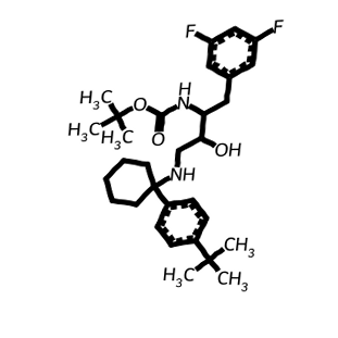 CC(C)(C)OC(=O)NC(Cc1cc(F)cc(F)c1)C(O)CNC1(c2ccc(C(C)(C)C)cc2)CCCCC1